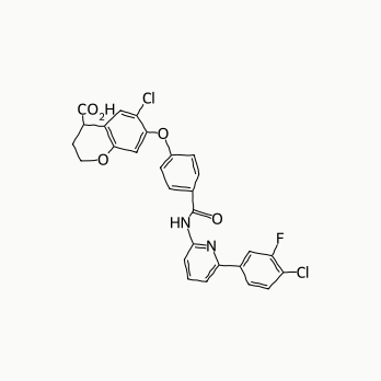 O=C(Nc1cccc(-c2ccc(Cl)c(F)c2)n1)c1ccc(Oc2cc3c(cc2Cl)C(C(=O)O)CCO3)cc1